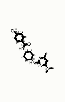 Cc1cc(N(C)C)nc(N[C@H]2CC[C@@H](NC(=O)c3ccc(Cl)cc3)CC2)n1